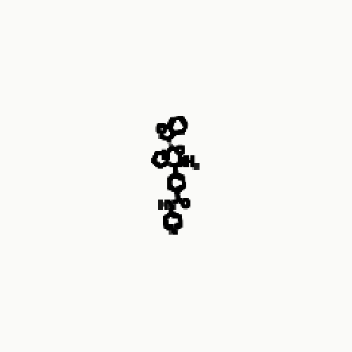 NC(c1ccc(C(=O)Nc2ccncc2)cc1)[C@H]1CCCN1C(=O)[C@@H]1COc2ccccc21